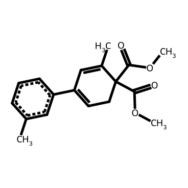 COC(=O)C1(C(=O)OC)CC=C(c2cccc(C)c2)C=C1C